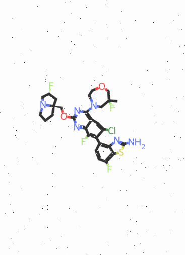 CC1(F)COCCN(c2nc(OC[C@@]34CCCN3C[C@H](F)C4)nc3c(F)c(-c4ccc(F)c5sc(N)nc45)c(Cl)cc23)C1